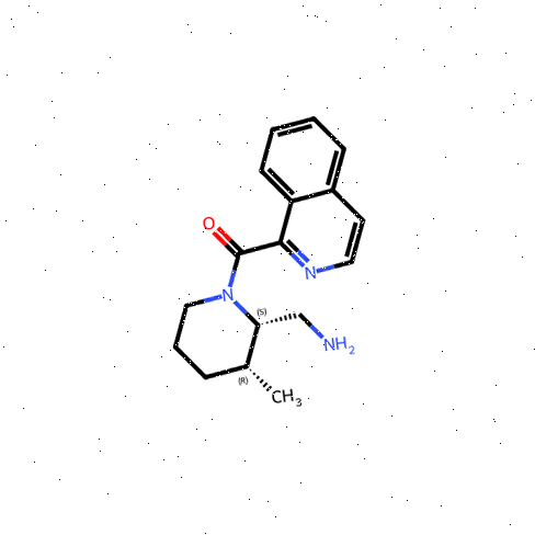 C[C@@H]1CCCN(C(=O)c2nccc3ccccc23)[C@@H]1CN